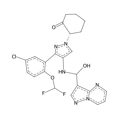 O=C1CCCC[C@@H]1n1cc(NC(O)c2cnn3cccnc23)c(-c2cc(Cl)ccc2OC(F)F)n1